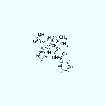 CC(C)(C)C1SC(NC(=O)c2ccccc2)=N[C@@]2(c3ccns3)CN(C(=O)O)C[C@@H]12